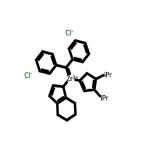 CC(C)C1=C(C(C)C)C[C]([Zr+2](=[C](c2ccccc2)c2ccccc2)[CH]2C=CC3=C2CCCC3)=C1.[Cl-].[Cl-]